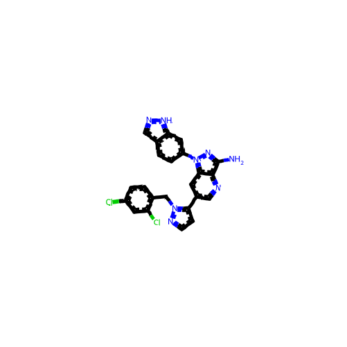 Nc1nn(-c2ccc3cn[nH]c3c2)c2cc(-c3ccnn3Cc3ccc(Cl)cc3Cl)cnc12